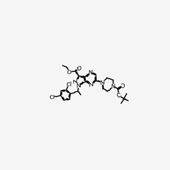 CCOC(=O)c1nn(C(C)c2ccc(Cl)cc2Cl)c2nc(N3CCN(C(=O)OC(C)(C)C)CC3)cnc12